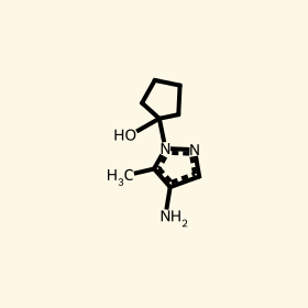 Cc1c(N)cnn1C1(O)CCCC1